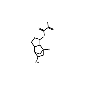 C=C(C)C(=O)OC1CCC2C3C[C@@H](CC3OC(C)=O)C12